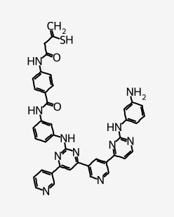 C=C(S)CC(=O)Nc1ccc(C(=O)Nc2cccc(Nc3nc(-c4cccnc4)cc(-c4cncc(-c5ccnc(Nc6cccc(N)c6)n5)c4)n3)c2)cc1